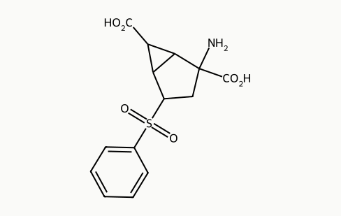 NC1(C(=O)O)CC(S(=O)(=O)c2ccccc2)C2C(C(=O)O)C21